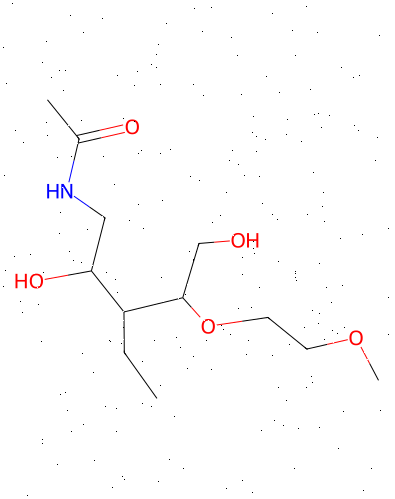 CCC(C(O)CNC(C)=O)C(CO)OCCOC